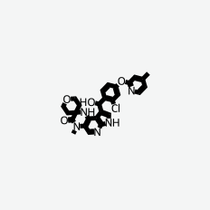 Cc1ccnc(Oc2ccc(C(O)c3c[nH]c4ncc5c(c34)NC3(CCOCC3)C(=O)N5C)c(Cl)c2)c1